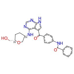 O=C(Nc1ccc(C(=O)c2c[nH]c3ncnc(N[C@H]4CC[C@@H](CO)OC4)c23)cc1)c1ccccc1